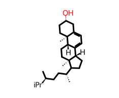 CC(C)[C@@H](C)CC[C@@H](C)C1CC[C@H]2C3=CC=C4C[C@@H](O)CC[C@]4(C)[C@H]3CC[C@]12C